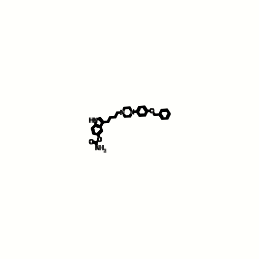 NC(=O)Oc1ccc2[nH]cc(CCCCN3CCN(c4ccc(OCc5ccccc5)cc4)CC3)c2c1